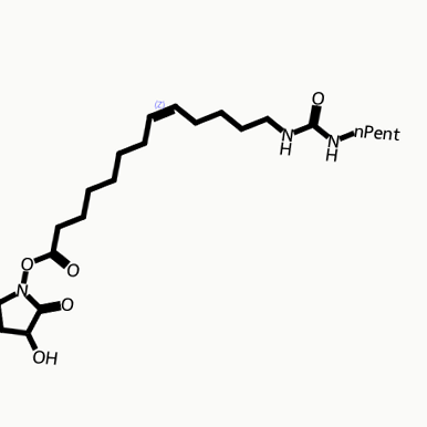 CCCCCNC(=O)NCCCC/C=C\CCCCCCC(=O)ON1C(=O)CC(O)C1=O